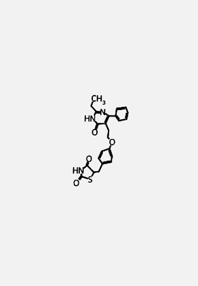 CCc1nc(-c2ccccc2)c(CCOc2ccc(CC3SC(=O)NC3=O)cc2)c(=O)[nH]1